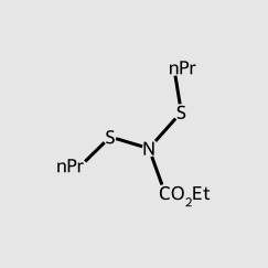 CCCSN(SCCC)C(=O)OCC